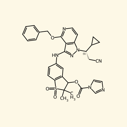 CC1(C)C(OC(=O)n2ccnc2)c2cc(Nc3nn([C@@H](CC#N)C4CC4)c4ccnc(OCc5ccccc5)c34)ccc2S1(=O)=O